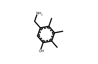 Cc1c(O)cc(CN)c(C)c1C